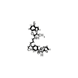 CCN(CCCNC(=O)[C@H](C)n1ccc2c(F)cccc21)c1ccc(S(=O)(=O)Nc2nccs2)cc1